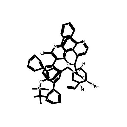 C=C[C@H]1C[N+]2(Cc3cc(-c4ccccc4)c(O[Si](C)(C)C(C)(C)C)c(-c4ccccc4)c3)CC[C@H]1C[C@@H]2[C@@H](Oc1nc(-c2ccccc2)nc(Cl)c1-c1ccccc1)c1ccnc2ccccc12.[Br-]